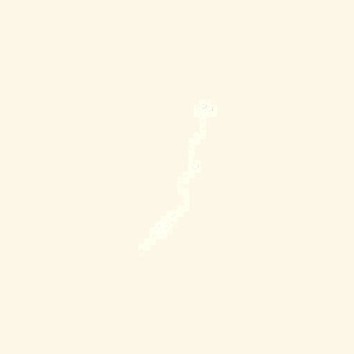 CC#CCCOCCCCCC